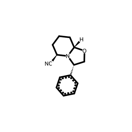 N#C[C@H]1CCC[C@@H]2OC[C@H](c3ccccc3)N21